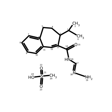 CC(C)C1CCc2ccccc2C=C1C(=O)NC=NN.CS(=O)(=O)O